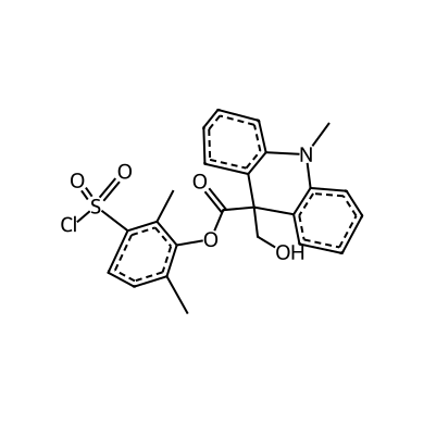 Cc1ccc(S(=O)(=O)Cl)c(C)c1OC(=O)C1(CO)c2ccccc2N(C)c2ccccc21